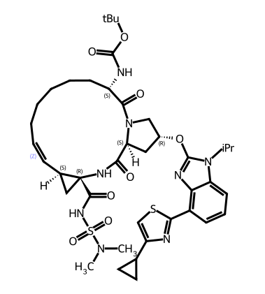 CC(C)n1c(O[C@@H]2C[C@H]3C(=O)N[C@]4(C(=O)NS(=O)(=O)N(C)C)C[C@H]4/C=C\CCCCC[C@H](NC(=O)OC(C)(C)C)C(=O)N3C2)nc2c(-c3nc(C4CC4)cs3)cccc21